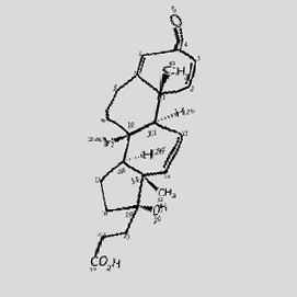 C[C@]12C=CC(=O)C=C1CC[C@@H]1[C@@H]2C=C[C@@]2(C)[C@H]1CC[C@@]2(O)CCC(=O)O